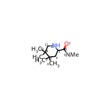 CNC(=O)C1CC(C)(C)C(C)(C)CN1